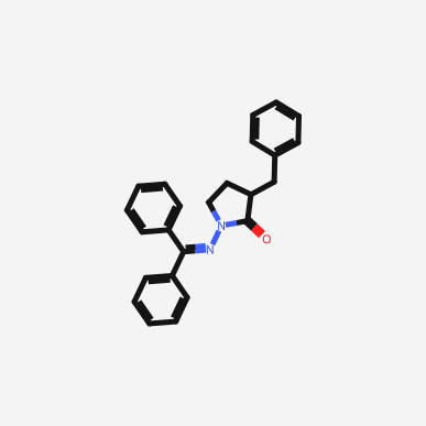 O=C1C(Cc2ccccc2)CCN1N=C(c1ccccc1)c1ccccc1